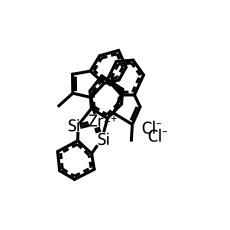 CC1=Cc2ccccc2[CH]1[Zr+2]1([CH]2C(C)=Cc3ccccc32)=[Si]2c3ccccc3[Si]=1c1ccccc12.[Cl-].[Cl-]